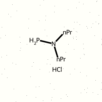 CCCN(P)CCC.Cl